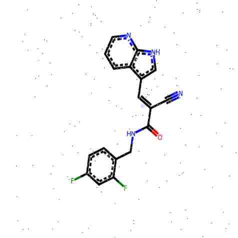 N#C/C(=C\c1c[nH]c2ncccc12)C(=O)NCc1ccc(F)cc1F